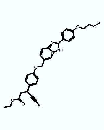 CC#CC(CC(=O)OCC)c1ccc(OCC2=CN3NC(c4ccc(OCCOC)cc4)N=C3C=C2)cc1